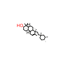 CC1=CC[C@@H]2[C@@]3(C)CC[C@H](O)C(C)(C)[C@@H]3CC[C@@]2(C)[C@]1(C)CC[C@@]1(C)CC[C@@H](C)[C@H](C)C1